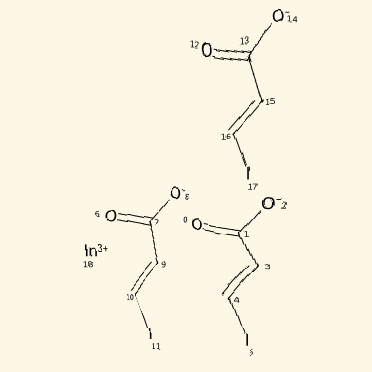 O=C([O-])C=CI.O=C([O-])C=CI.O=C([O-])C=CI.[In+3]